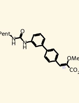 CCCCCNC(=O)Nc1cccc(-c2ccc(/C=C(\OC)C(=O)O)cc2)c1